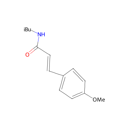 CCC(C)NC(=O)/C=C/c1ccc(OC)cc1